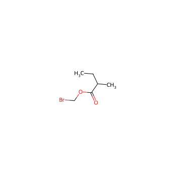 CCC(C)C(=O)OCBr